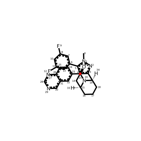 Cn1nc2c(c1-c1cc(F)cc(F)c1)C[C@@H]1CCC[C@H]2N1C(=O)c1ccc2ncncc2c1